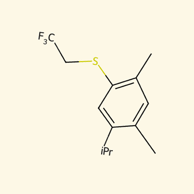 Cc1cc(C)c(C(C)C)cc1SCC(F)(F)F